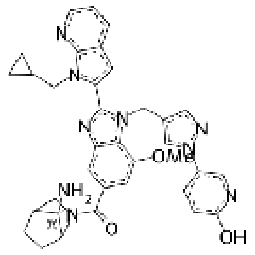 COc1cc(C(=O)N2CC3CCC2[C@]3(C)N)cc2nc(-c3cc4cccnc4n3CC3CC3)n(Cc3cnn(-c4ccc(O)nc4)c3)c12